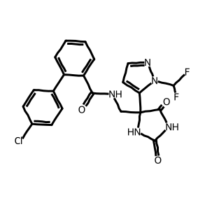 O=C1NC(=O)C(CNC(=O)c2ccccc2-c2ccc(Cl)cc2)(c2ccnn2C(F)F)N1